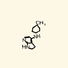 C[C@H]1CC[C@H](Nc2ccnc3c2CCN3)CC1